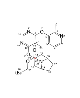 Cc1ncccc1Oc1ncnc(OC2CC3CCC(C2)N3C(=O)OCC(C)(C)C)c1C